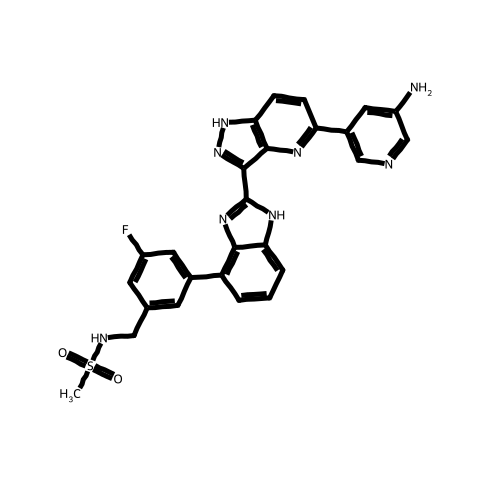 CS(=O)(=O)NCc1cc(F)cc(-c2cccc3[nH]c(-c4n[nH]c5ccc(-c6cncc(N)c6)nc45)nc23)c1